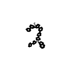 c1ccc(-c2ccc(N(c3ccc(-c4ccc(-c5cccc(-c6ccc7sc8ccc(-c9ccccc9)cc8c7c6)c5)cc4)cc3)c3ccc4ccccc4c3)cc2)cc1